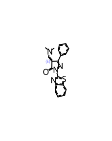 CN(C)/C=C1/C(=O)N(c2nc3ccccc3s2)N=C1c1ccccc1